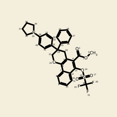 COC(=O)c1c2c(c3ccccc3c1OS(=O)(=O)C(F)(F)F)OCC(c1ccccc1)(c1ccc(N3CCCC3)cc1)C2